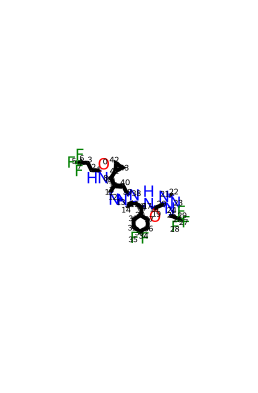 O=C(CCC(F)(F)F)N[C@@H](c1cnn2cc([C@@H](NC(=O)c3ncnn3CC(F)(F)F)C3CCC(F)(F)CC3)nc2c1)C1CC1